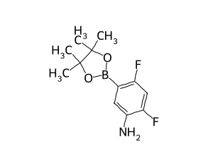 CC1(C)OB(c2cc(N)c(F)cc2F)OC1(C)C